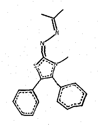 CC(C)=NN=c1sc(-c2ccccc2)c(-c2ccccc2)n1C